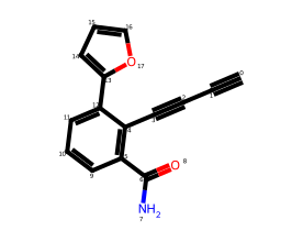 C#CC#Cc1c(C(N)=O)cccc1-c1ccco1